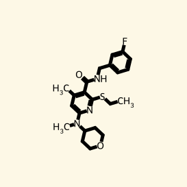 CCSc1nc(N(C)C2CCOCC2)cc(C)c1C(=O)NCc1cccc(F)c1